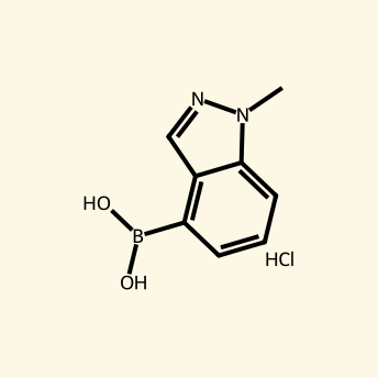 Cl.Cn1ncc2c(B(O)O)cccc21